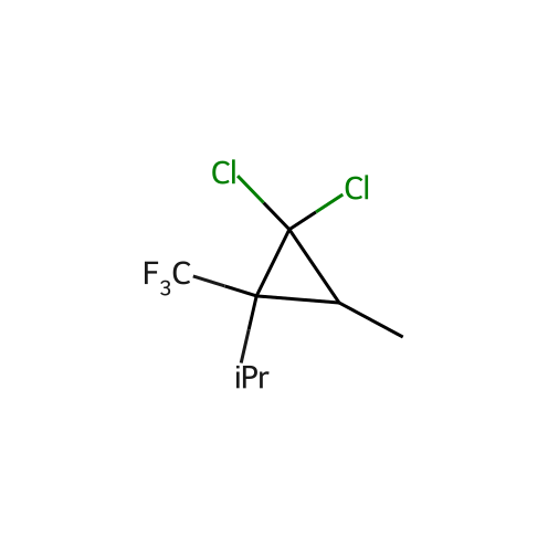 CC(C)C1(C(F)(F)F)C(C)C1(Cl)Cl